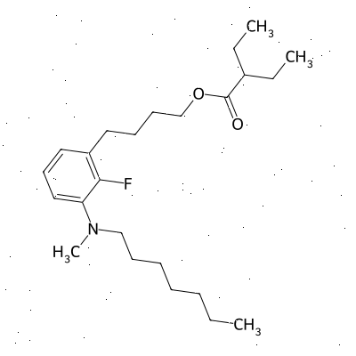 CCCCCCCN(C)c1cccc(CCCCOC(=O)C(CC)CC)c1F